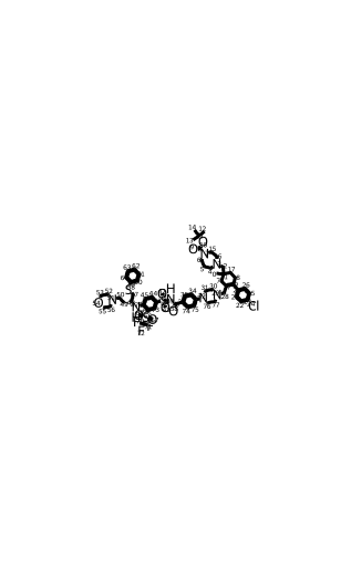 CC1(CN2CCCN(C(=O)OC(C)(C)C)CC2)CCC(c2ccc(Cl)cc2)=C(CN2CCN(c3ccc(C(=O)NS(=O)(=O)c4ccc(N[C@H](CCN5CCOCC5)CSc5ccccc5)c(S(=O)(=O)C(F)(F)F)c4)cc3)CC2)C1